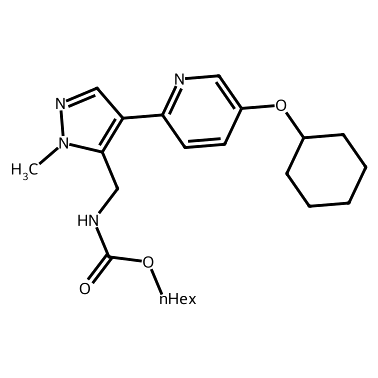 CCCCCCOC(=O)NCc1c(-c2ccc(OC3CCCCC3)cn2)cnn1C